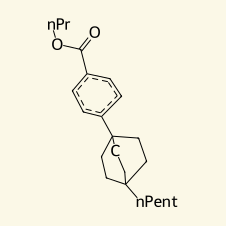 CCCCCC12CCC(c3ccc(C(=O)OCCC)cc3)(CC1)CC2